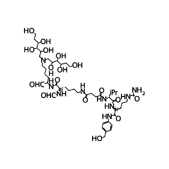 CC(C)C(NC(=O)CCC(=O)NCCCC[C@H](NC=O)C(=O)NC(C=O)CCCCN(CC(O)C(O)C(O)CCO)CC(O)C(O)C(O)CCO)C(=O)N[C@@H](CCCNC(N)=O)C(=O)Nc1ccc(CO)cc1